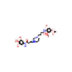 COc1cc(OC(C)=O)cc(OC)c1NC(=O)CCCN1CCCN(CCCC(=O)Nc2cc(OC)c(OC)c(OC)c2)CC1